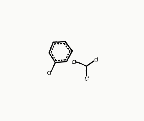 ClC(Cl)Cl.Clc1ccccc1